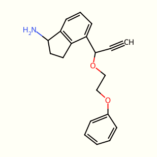 C#CC(OCCOc1ccccc1)c1cccc2c1CCC2N